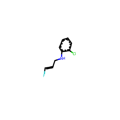 FC=CCNc1ccccc1Cl